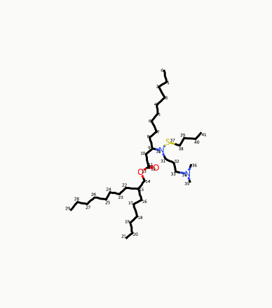 CCCCCCCCCC(CC(=O)OCC(CCCCCC)CCCCCCCC)N(CCCN(C)C)SCCCC